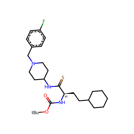 CC(C)(C)OC(=O)N[C@H](CCC1CCCCC1)C(=S)NC1CCN(Cc2ccc(F)cc2)CC1